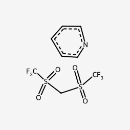 O=S(=O)(CS(=O)(=O)C(F)(F)F)C(F)(F)F.c1ccncc1